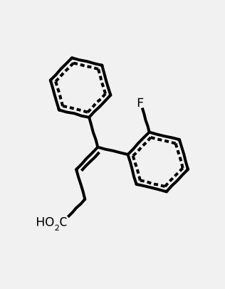 O=C(O)CC=C(c1ccccc1)c1ccccc1F